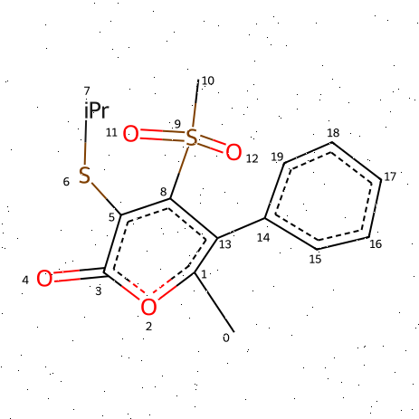 Cc1oc(=O)c(SC(C)C)c(S(C)(=O)=O)c1-c1ccccc1